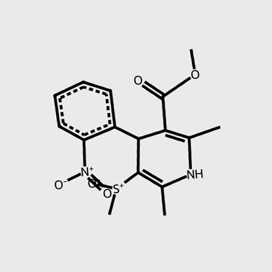 COC(=O)C1=C(C)NC(C)=C([S+](C)[O-])C1c1ccccc1[N+](=O)[O-]